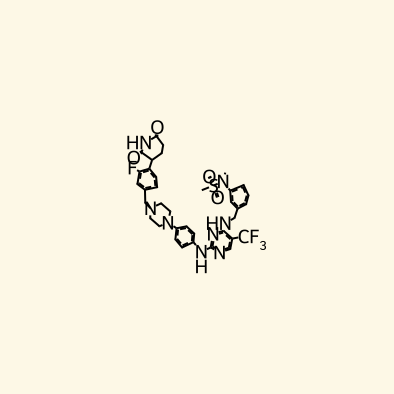 CN(c1cccc(CNc2nc(Nc3ccc(N4CCN(Cc5ccc(C6CCC(=O)NC6=O)c(F)c5)CC4)cc3)ncc2C(F)(F)F)c1)S(C)(=O)=O